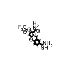 N=C(N)c1cccc(CN2C(=O)CC(OC(=O)C(F)(F)F)C2C(N)=O)c1